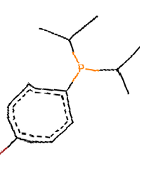 CC(C)P(c1ccc(Br)cc1)C(C)C